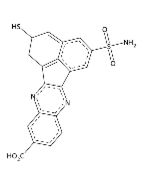 NS(=O)(=O)c1cc2c3c(c1)=CC(S)CC=3c1nc3cc(C(=O)O)ccc3nc1-2